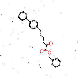 O=C(CCCCc1ccc(-c2ccccc2)cc1)C(=O)OCc1ccccc1